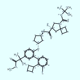 COC(=O)C(C)(C)c1ccc(O[C@@H]2CC[C@@H](NC(=O)[C@@]3(F)CN(C(=O)OC(C)(C)C)C4(CCC4)C3)C2)c(-c2cccc(F)c2C2CCC2)c1